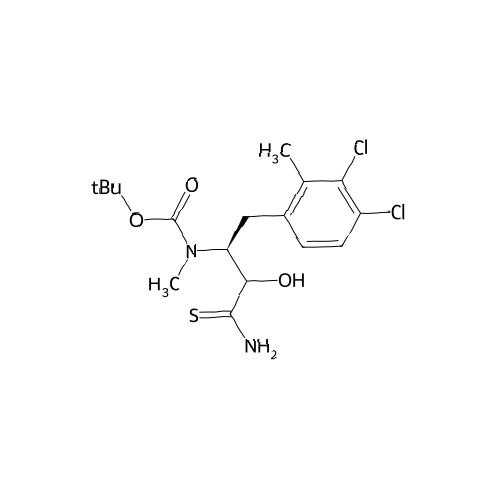 Cc1c(C[C@@H](C(O)C(N)=S)N(C)C(=O)OC(C)(C)C)ccc(Cl)c1Cl